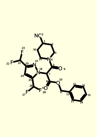 N#CC1CCN(C(=O)C(C(=O)OCc2ccccc2)n2nc(C(F)F)cc2C(F)F)CC1